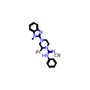 CC(C)C1CN(c2nc3ccccc3n2C)CCN1/C(=N/C#N)Nc1ccccc1